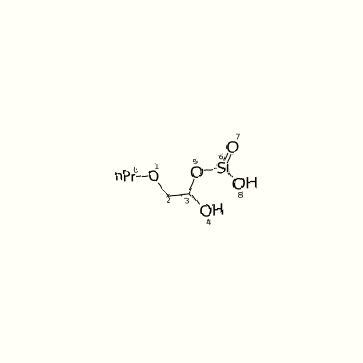 CCCOCC(O)O[Si](=O)O